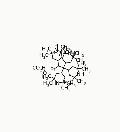 CCC(C1CC(C)(C)NC(C)(C)C1)C(C1CC(C)(C)NC(C)(C)C1)(C1CC(C)(C)NC(C)(C)C1)C1CC(C)(C)NC(C)(C)C1.O=C(O)O